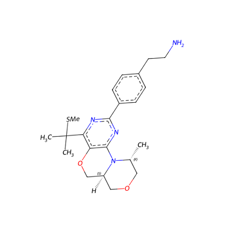 CSC(C)(C)c1nc(-c2ccc(CCN)cc2)nc2c1OC[C@@H]1COC[C@@H](C)N21